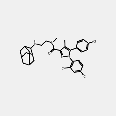 Cc1c(C(=O)N(C)CCNC2C3CC4CC(C3)CC2C4)nn(-c2ccc(Cl)cc2Cl)c1-c1ccc(Cl)cc1